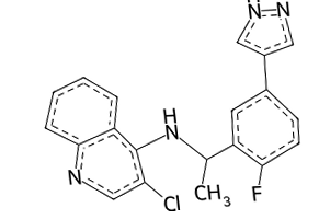 CC(Nc1c(Cl)cnc2ccccc12)c1cc(-c2cn[nH]c2)ccc1F